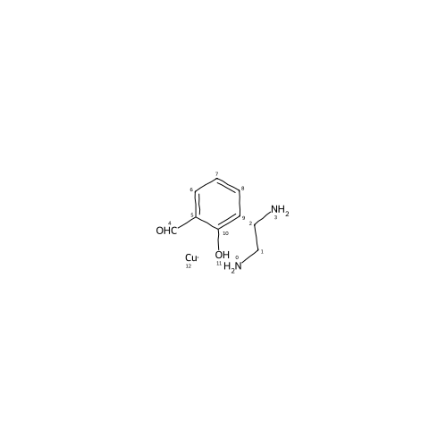 NCCN.O=Cc1ccccc1O.[Cu]